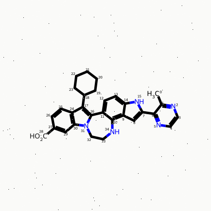 Cc1nccnc1-c1cc2c3c(ccc2[nH]1)-c1c(C2CCCCC2)c2ccc(C(=O)O)cc2n1CCN3